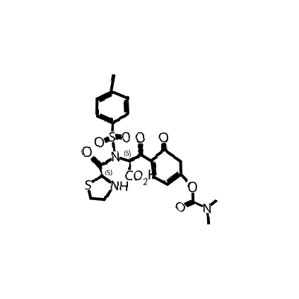 Cc1ccc(S(=O)(=O)N(C(=O)[C@H]2NCCS2)[C@H](C(=O)O)C(=O)C2=CC=C(OC(=O)N(C)C)CC2=O)cc1